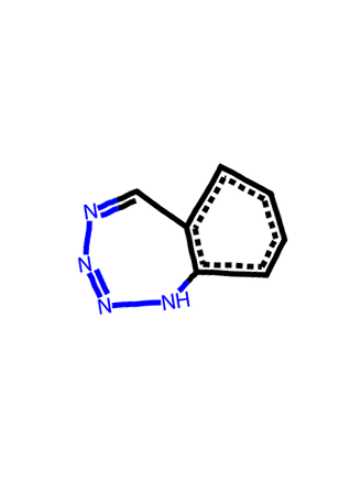 C1=NN=NNc2ccccc21